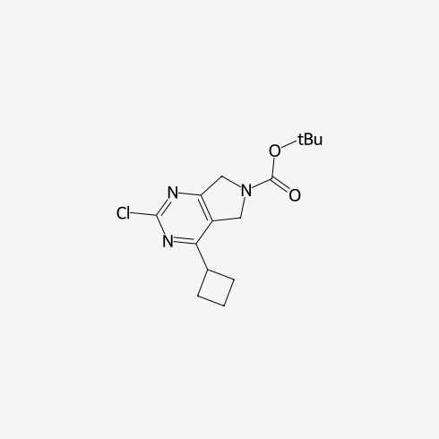 CC(C)(C)OC(=O)N1Cc2nc(Cl)nc(C3CCC3)c2C1